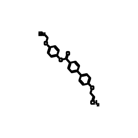 C=CCOc1ccc(-c2ccc(C(=O)Oc3ccc(OCC(C)CC)cc3)cc2)cc1